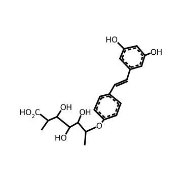 CC(Oc1ccc(/C=C/c2cc(O)cc(O)c2)cc1)C(O)C(O)C(O)C(C)C(=O)O